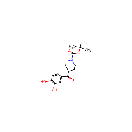 CC(C)(C)OC(=O)N1CCC(C(=O)c2ccc(O)c(O)c2)CC1